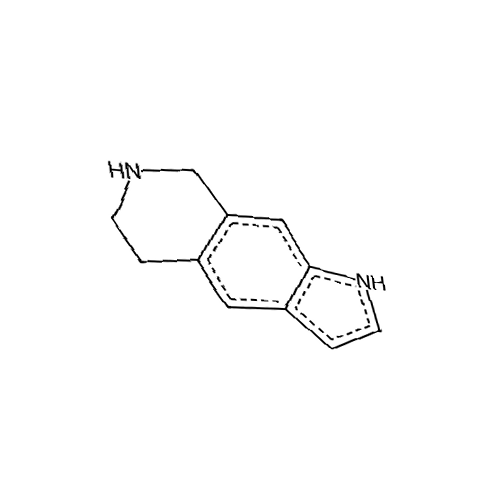 c1cc2cc3c(cc2[nH]1)CNCC3